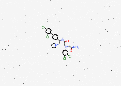 CN(C(=O)CN(CC(N)=O)c1ccc(Cl)c(Cl)c1)[C@@H](CN1CCCC1)c1ccc(-c2ccc(Cl)cc2Cl)cc1